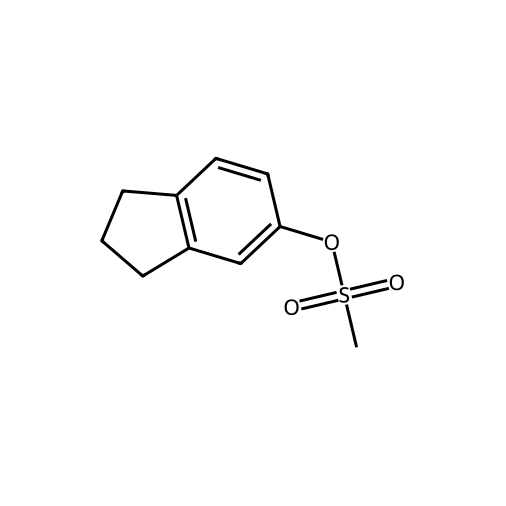 CS(=O)(=O)Oc1ccc2c(c1)CCC2